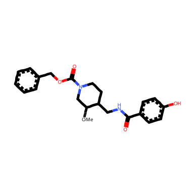 COC1CN(C(=O)OCc2ccccc2)CCC1CNC(=O)c1ccc(O)cc1